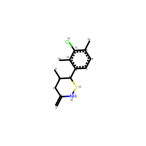 C=C1CC(C)C(c2ccc(C)c(Cl)c2C)SN1